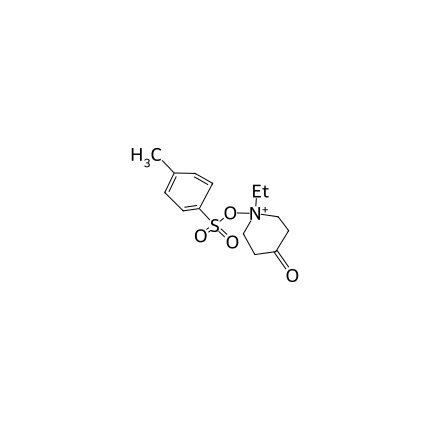 CC[N+]1(OS(=O)(=O)c2ccc(C)cc2)CCC(=O)CC1